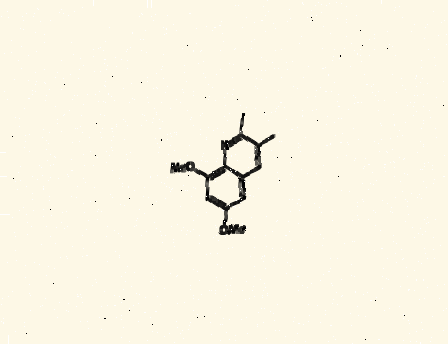 COc1cc(OC)c2nc(C)c(C)cc2c1